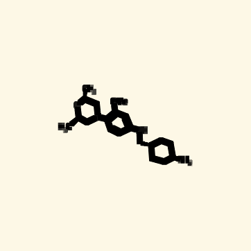 COc1cc(NC[C@H]2CC[C@H](N)CC2)ccc1N1C[C@@H](C)O[C@H](C)C1